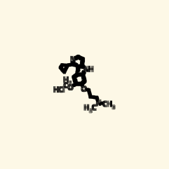 COc1cc2c(cc1OCCCN(C)C)[nH]c1ccnc(C3CCC3)c12.Cl